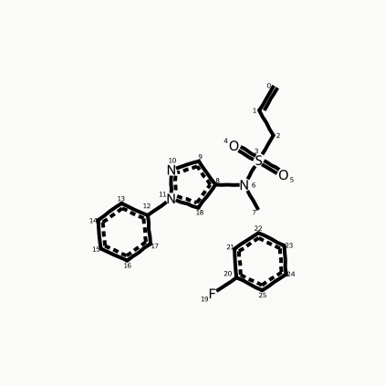 C=CCS(=O)(=O)N(C)c1cnn(-c2ccccc2)c1.Fc1ccccc1